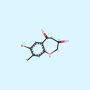 Cc1cc2c(cc1Br)C(=O)CC(=O)CO2